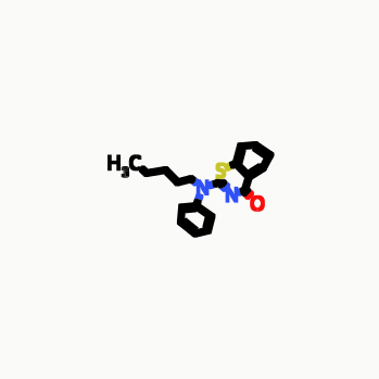 CCCCCN(c1ccccc1)c1nc(=O)c2ccccc2s1